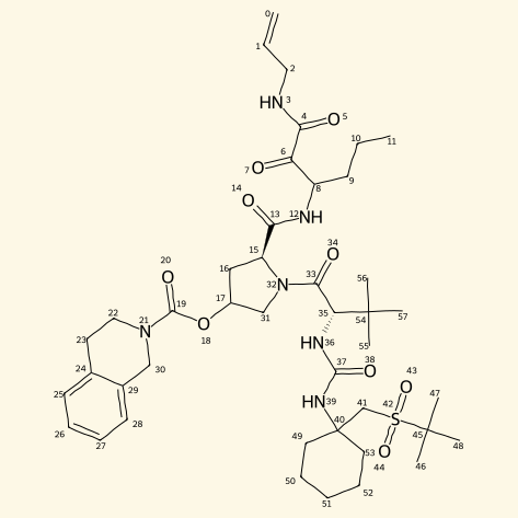 C=CCNC(=O)C(=O)C(CCC)NC(=O)[C@@H]1CC(OC(=O)N2CCc3ccccc3C2)CN1C(=O)[C@@H](NC(=O)NC1(CS(=O)(=O)C(C)(C)C)CCCCC1)C(C)(C)C